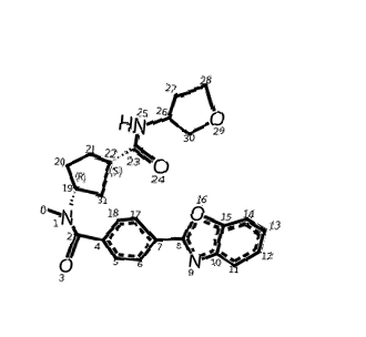 CN(C(=O)c1ccc(-c2nc3ccccc3o2)cc1)[C@@H]1CC[C@H](C(=O)NC2CCOC2)C1